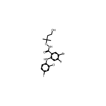 CC(C)(CCO)ONC(=O)c1cc(Br)c(F)cc1Nc1ccc(I)cc1Cl